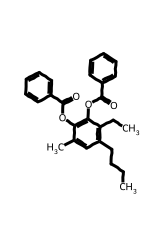 CCCCc1cc(C)c(OC(=O)c2ccccc2)c(OC(=O)c2ccccc2)c1CC